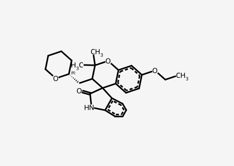 CCOc1ccc2c(c1)OC(C)(C)C(C[C@H]1CCCCO1)C21C(=O)Nc2ccccc21